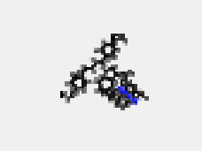 C[N-]C.C[N-]C.C[N-]C.Cc1ccc(C=CC=Cc2ccc(C)cc2)cc1.[Ti+3][CH]1CCC2C=CC=CC12